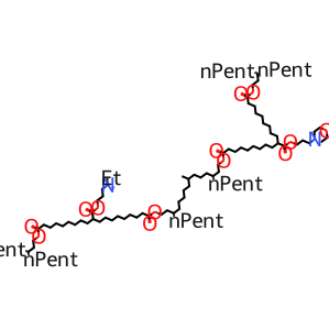 CCCCCC(CCCCC)CCOC(=O)CCCCCCCCC(CCCCCCCCC(=O)OCCC(CCCCC)CCCCCC(C)CCCC(CCCCC)CCOC(=O)CCCCCCCCC(CCCCCCCCC(=O)OCCC(CCCCC)CCCCC)C(=O)OCCCN1CCOCC1)C(=O)OCCCN(C)CC